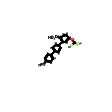 CCCc1ccc(-c2ccc(-c3cc(OC(F)F)ccc3C(=O)O)cc2)cc1